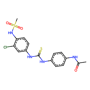 CC(=O)Nc1ccc(NC(=S)Nc2ccc(NS(C)(=O)=O)c(Cl)c2)cc1